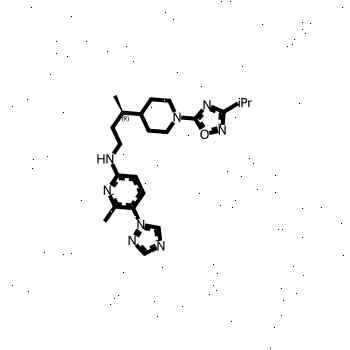 Cc1nc(NCC[C@@H](C)C2CCN(c3nc(C(C)C)no3)CC2)ccc1-n1cncn1